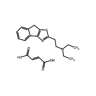 CCN(CC)CCc1nc2c(s1)Cc1ccccc1-2.O=C(O)C=CC(=O)O